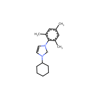 Cc1cc(C)c(N2[C]N(C3CCCCC3)C=C2)c(C)c1